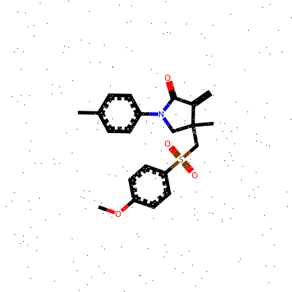 C=C1C(=O)N(c2ccc(C)cc2)CC1(C)CS(=O)(=O)c1ccc(OC)cc1